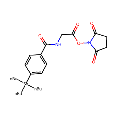 CCC[CH2][Sn]([CH2]CCC)([CH2]CCC)[c]1ccc(C(=O)NCC(=O)ON2C(=O)CCC2=O)cc1